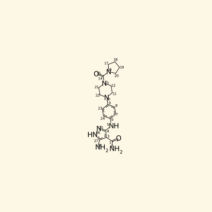 NC(=O)c1c(Nc2ccc(N3CCN(C(=O)N4CCCC4)CC3)cc2)n[nH]c1N